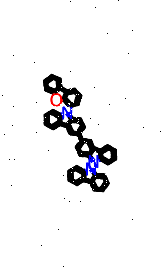 c1ccc2c(c1)oc1c(-n3c4ccccc4c4cc(-c5ccc6c(c5)c5ccccc5n6-n5c6ccccc6c6ccccc65)ccc43)cccc12